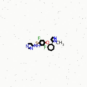 Cn1nccc1[C@H]1CCCCC[C@@H]1Oc1cc(F)c(SNc2ccncn2)cc1F